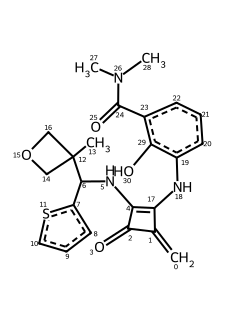 C=C1C(=O)C(NC(c2cccs2)C2(C)COC2)=C1Nc1cccc(C(=O)N(C)C)c1O